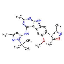 COc1cc2c(cc1-c1c(C)noc1C)[nH]c1nc(C)nc(Nc3cc(C)nn3C(C)(C)C)c12